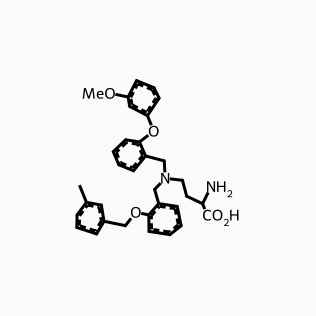 COc1cccc(Oc2ccccc2CN(CCC(N)C(=O)O)Cc2ccccc2OCc2cccc(C)c2)c1